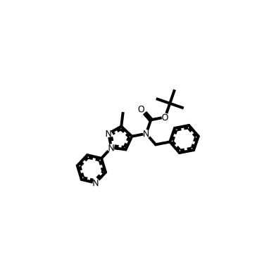 Cc1nn(-c2cccnc2)cc1N(Cc1ccccc1)C(=O)OC(C)(C)C